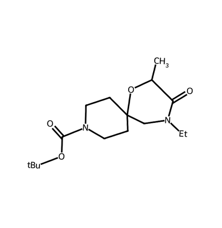 CCN1CC2(CCN(C(=O)OC(C)(C)C)CC2)OC(C)C1=O